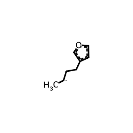 C[CH]CCc1ccoc1